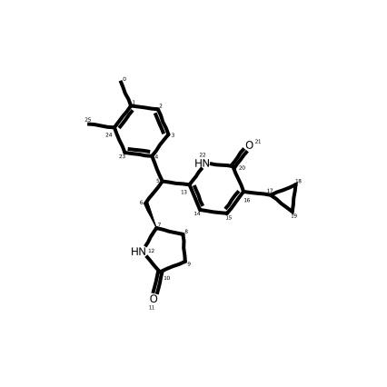 Cc1ccc(C(C[C@H]2CCC(=O)N2)c2ccc(C3CC3)c(=O)[nH]2)cc1C